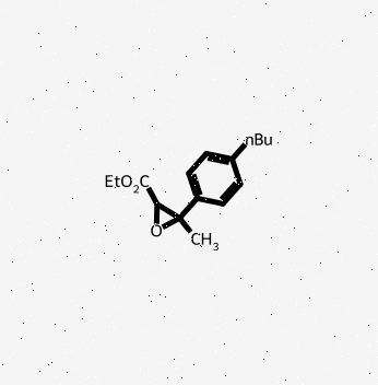 CCCCc1ccc(C2(C)OC2C(=O)OCC)cc1